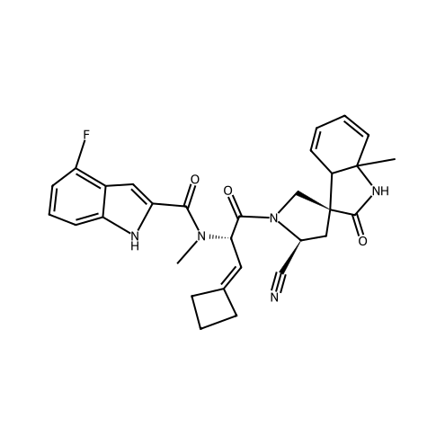 CN(C(=O)c1cc2c(F)cccc2[nH]1)[C@@H](C=C1CCC1)C(=O)N1C[C@]2(C[C@H]1C#N)C(=O)NC1(C)C=CC=CC12